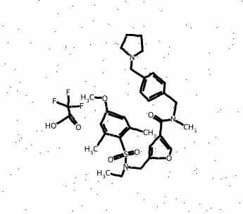 CCN(Cc1cc(C(=O)N(C)Cc2ccc(CN3CCCC3)cc2)co1)S(=O)(=O)c1c(C)cc(OC)cc1C.O=C(O)C(F)(F)F